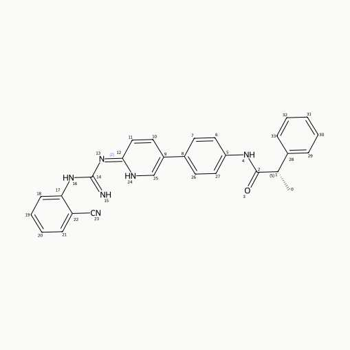 C[C@H](C(=O)Nc1ccc(-c2cc/c(=N/C(=N)Nc3ccccc3C#N)[nH]c2)cc1)c1ccccc1